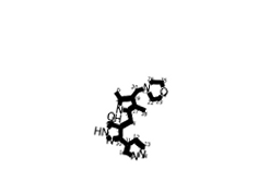 Cc1[nH]c(C=C2C(=O)NN=C2c2ccnnc2)c(C)c1CN1CCOCC1